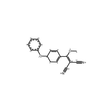 COC(C1=CCC(Oc2ccccc2)C=C1)=C(C#N)C#N